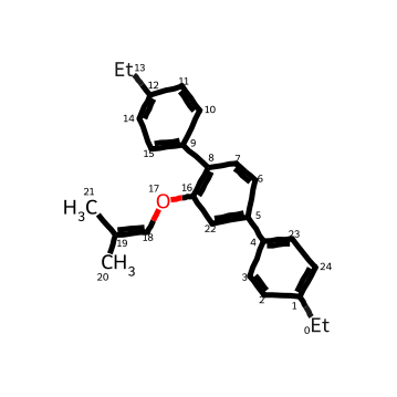 CCc1ccc(-c2ccc(-c3ccc(CC)cc3)c(OC=C(C)C)c2)cc1